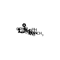 CCNC(=O)Nc1ncnc2c1ncn2C1OC(COCC2CC2C(=O)O)C2O[C@@H](c3ccccc3)OC21